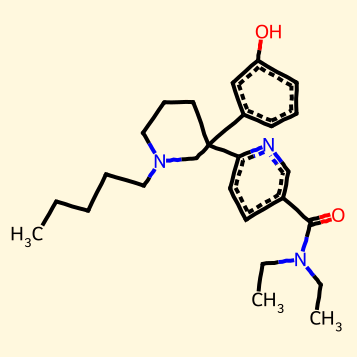 CCCCCN1CCCC(c2cccc(O)c2)(c2ccc(C(=O)N(CC)CC)cn2)C1